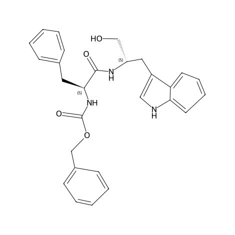 O=C(N[C@@H](Cc1ccccc1)C(=O)N[C@H](CO)Cc1c[nH]c2ccccc12)OCc1ccccc1